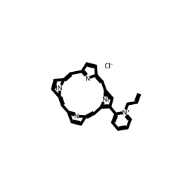 C=CC[n+]1ccccc1-c1cc2cc3nc(cc4ccc(cc5nc(cc1[nH]2)C=C5)[nH]4)C=C3.[Cl-]